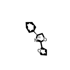 c1ccc([C@H]2COC(c3ccco3)=N2)cc1